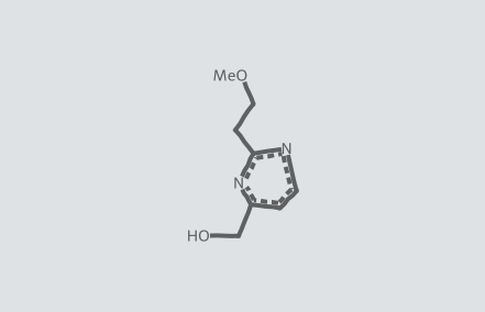 COCCc1nccc(CO)n1